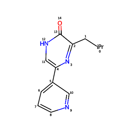 CC(C)Cc1nc(-c2cccnc2)c[nH]c1=O